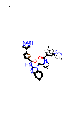 CC(C)(N)C=C(C#N)C(=O)N1CCCC1Cn1c(NC(=O)c2ccc(-c3cn[nH]c3)s2)nc2ccccc21